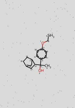 CC(O)(c1ccc(OC[SiH3])cc1)C1CC2CCC1C2